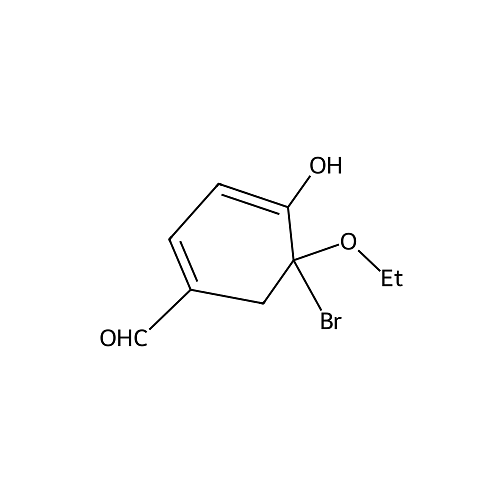 CCOC1(Br)CC(C=O)=CC=C1O